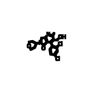 Cc1nc2c(c(-c3ccc(Cl)cc3Cl)c1CO)C(=O)N(C1CCOCC1)C2